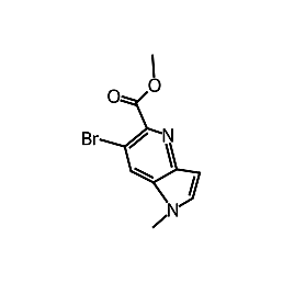 COC(=O)c1nc2ccn(C)c2cc1Br